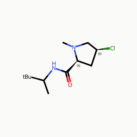 CC(NC(=O)[C@@H]1C[C@H](Cl)CN1C)C(C)(C)C